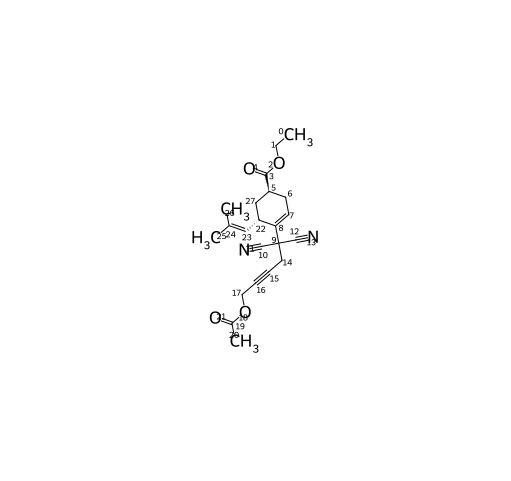 CCOC(=O)[C@H]1CC=C(C(C#N)(C#N)CC#CCOC(C)=O)[C@H](C=C(C)C)C1